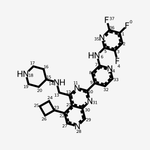 Fc1cc(F)c(Nc2cc(-c3nc(CNC4CCNCC4)c4c(C5CCC5)cncc4n3)ccn2)nc1F